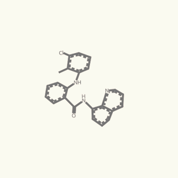 Cc1c(Cl)cccc1Nc1ccccc1C(=O)Nc1cccc2cccnc12